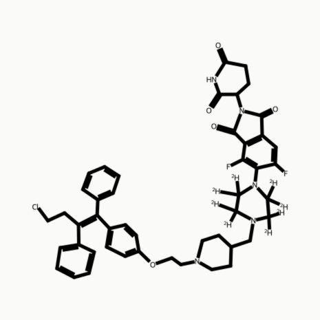 [2H]C1([2H])N(CC2CCN(CCOc3ccc(C(=C(CCCl)c4ccccc4)c4ccccc4)cc3)CC2)C([2H])([2H])C([2H])([2H])N(c2c(F)cc3c(c2F)C(=O)N(C2CCC(=O)NC2=O)C3=O)C1([2H])[2H]